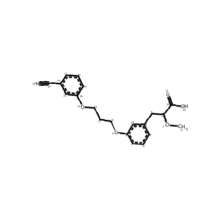 COC(Cc1cccc(OCCCOc2cccc(C#N)c2)c1)C(=O)O